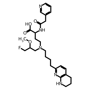 COC(CF)CN(CCCCc1ccc2c(n1)NCCC2)CCC(NC(=O)Cc1cccnc1)C(=O)O